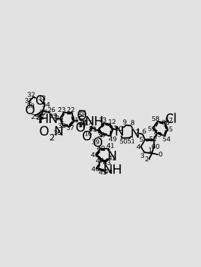 CC1(C)CCC(CN2CCN(c3ccc(C(=O)NS(=O)(=O)c4ccc(NCC5(F)COCCOC5)c([N+](=O)[O-])c4)c(Oc4cnc5[nH]ccc5c4)c3)CC2)=C(c2ccc(Cl)cc2)C1